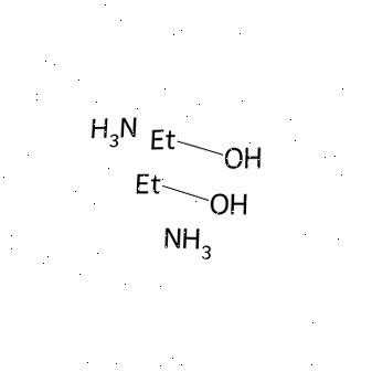 CCO.CCO.N.N